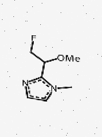 COC(CF)c1nccn1C